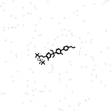 CCCc1ccc(-c2ccc(C(CC)(CC)c3ccc(CCC(O[Si](C)(C)C(C)(C)C)C(C)(C)C)c(C)c3)cc2C)cc1